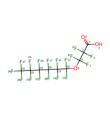 O=C(O)C(F)(F)C(F)(F)OC(F)(F)C(F)(F)C(F)(F)C(F)(F)C(F)(F)C(F)(F)F